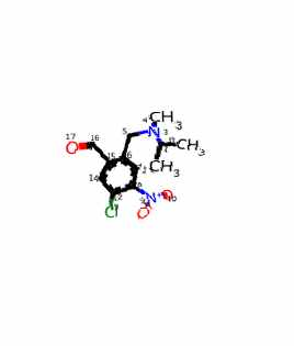 CC(C)N(C)Cc1cc([N+](=O)[O-])c(Cl)cc1C=O